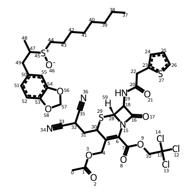 CC(=O)OCC1=C(C(=O)OCC(Cl)(Cl)Cl)N2C(=O)C(NC(=O)Cc3cccs3)[C@H]2SC1CC(C#N)C#N.CCCCCCCC[S+]([O-])C(C)Cc1ccc2c(c1)OCO2